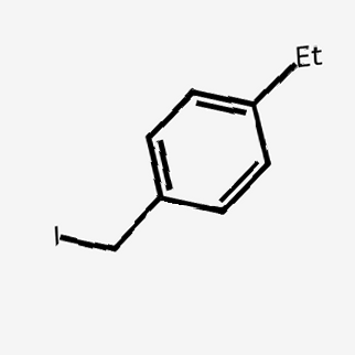 CCc1ccc(CI)cc1